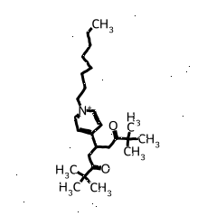 CCCCCCCC[n+]1ccc(C(CC(=O)C(C)(C)C)CC(=O)C(C)(C)C)cc1